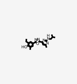 CCc1cc(-c2nnc(-c3cc(C)nc(NCC(C)C)n3)o2)cc(C)c1O